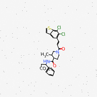 CCOC(=O)CC(NC(=O)C1CCN(C(=O)C=Cc2cc3ccsc3c(Cl)c2Cl)CC1C)c1ccccc1